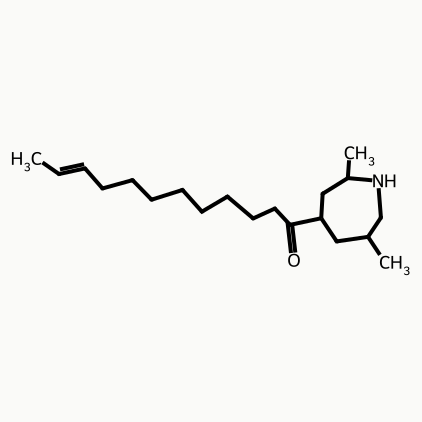 CC=CCCCCCCCCC(=O)C1CC(C)CNC(C)C1